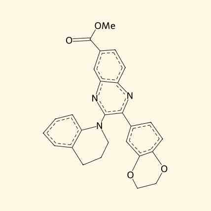 COC(=O)c1ccc2nc(-c3ccc4c(c3)OCCO4)c(N3CCCc4ccccc43)nc2c1